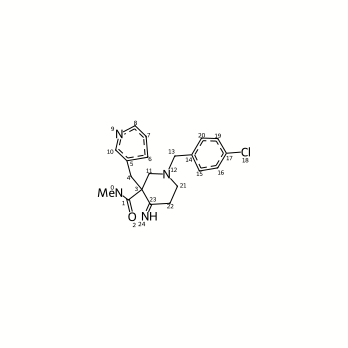 CNC(=O)C1(Cc2cccnc2)CN(Cc2ccc(Cl)cc2)CCC1=N